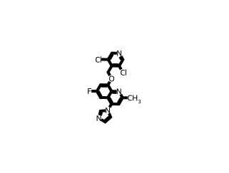 Cc1cc(-n2ccnc2)c2cc(F)cc(OCc3c(Cl)cncc3Cl)c2n1